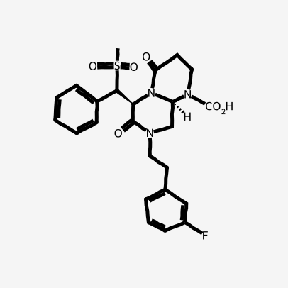 CS(=O)(=O)C(c1ccccc1)[C@@H]1C(=O)N(CCc2cccc(F)c2)C[C@@H]2N(C(=O)O)CCC(=O)N21